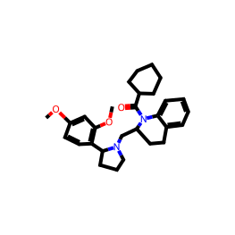 COc1ccc(C2CCCN2CC2CCc3ccccc3N2C(=O)C2CCCCC2)c(OC)c1